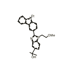 CCn1c2ccccc2c2cc(-c3nc4cc(C(C)(C)O)ccc4n3CCOC)ccc21